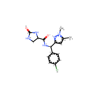 Cn1nc([C@H](NC(=O)C2CNC(=O)N2)c2ccc(Cl)cc2)cc1C(F)(F)F